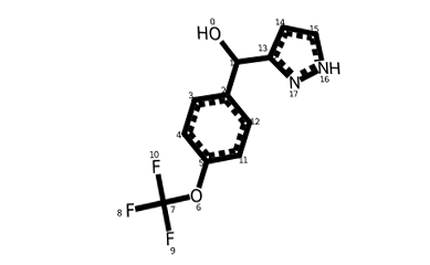 OC(c1ccc(OC(F)(F)F)cc1)c1cc[nH]n1